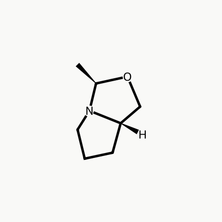 C[C@H]1OC[C@@H]2CCCN21